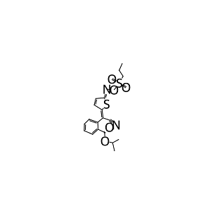 CCCS(=O)(=O)ON=C1C=CC(=C(C#N)c2ccccc2C(=O)OC(C)C)S1